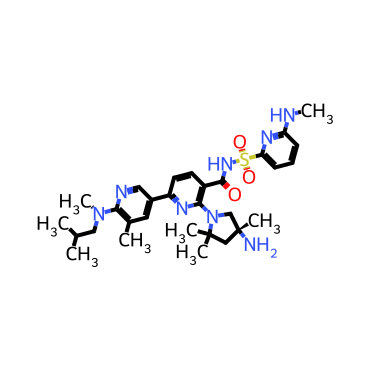 CNc1cccc(S(=O)(=O)NC(=O)c2ccc(-c3cnc(N(C)CC(C)C)c(C)c3)nc2N2C[C@](C)(N)CC2(C)C)n1